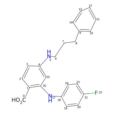 O=C(O)c1ccc(NCCCc2ccccc2)cc1Nc1ccc(F)cc1